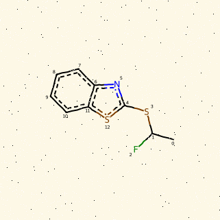 CC(F)Sc1nc2ccccc2s1